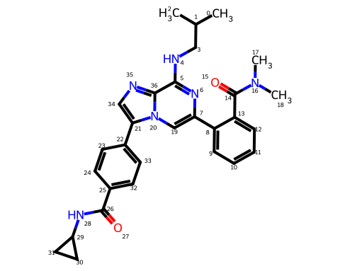 CC(C)CNc1nc(-c2ccccc2C(=O)N(C)C)cn2c(-c3ccc(C(=O)NC4CC4)cc3)cnc12